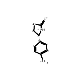 Cc1ccc([C@@H]2COC(=O)N2)cc1